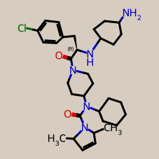 CC1C=CC(C)N1C(=O)N(C1CCCCC1)C1CCN(C(=O)[C@@H](Cc2ccc(Cl)cc2)NC2CCC(N)CC2)CC1